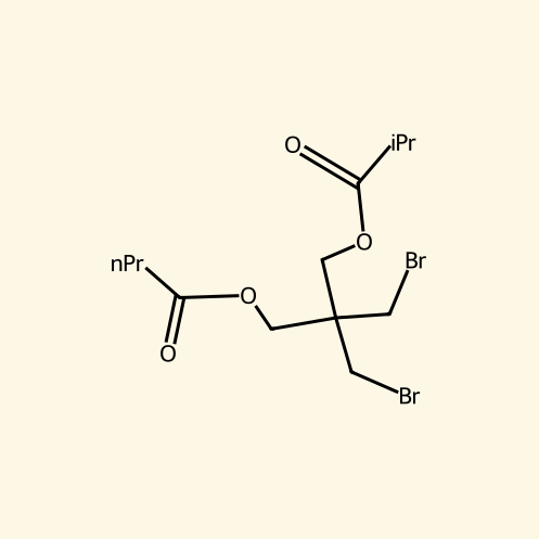 CCCC(=O)OCC(CBr)(CBr)COC(=O)C(C)C